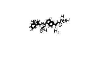 CC(=CC(=O)NO)c1ccc2c(c1)CC[C@@H]2N(CCO)CCc1c[nH]c2ccccc12